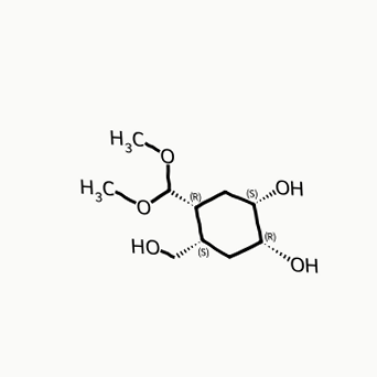 COC(OC)[C@@H]1C[C@H](O)[C@H](O)C[C@@H]1CO